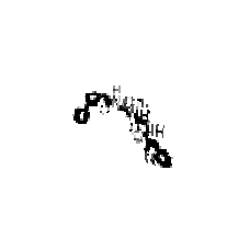 CC(C)C[C@H](NC(=O)c1cnc2ccccc2c1)C(=O)NCC(=O)CNC(=O)Cc1cccc(-c2ccccc2)c1